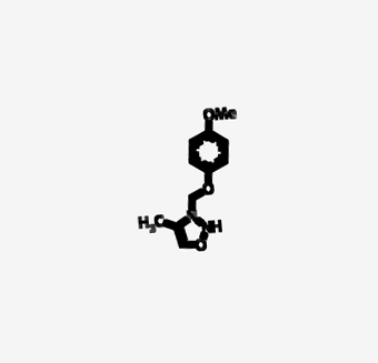 COc1ccc(OCN2NOC=C2C)cc1